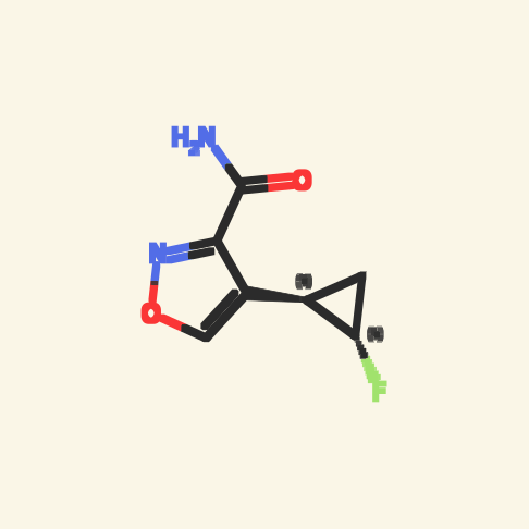 NC(=O)c1nocc1[C@H]1C[C@@H]1F